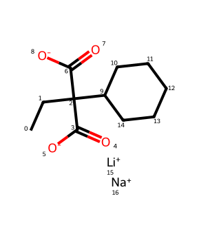 CCC(C(=O)[O-])(C(=O)[O-])C1CCCCC1.[Li+].[Na+]